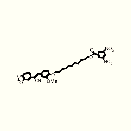 COc1cc(/C=C(\C#N)c2ccc3c(c2)OCO3)ccc1OCCCCCCCCCCCOC(=O)c1cc([N+](=O)[O-])cc([N+](=O)[O-])c1